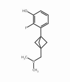 CN(C)CC12CC(c3cccc(O)c3F)(C1)C2